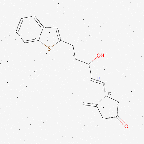 C=C1CC(=O)C[C@H]1/C=C/C(O)CCc1cc2ccccc2s1